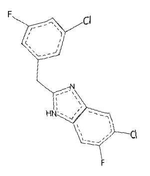 Fc1cc(Cl)cc(Cc2nc3cc(Cl)c(F)cc3[nH]2)c1